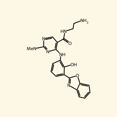 CNc1ncc(C(=O)NCCN)c(Nc2cccc(-c3nc4ccccc4o3)c2O)n1